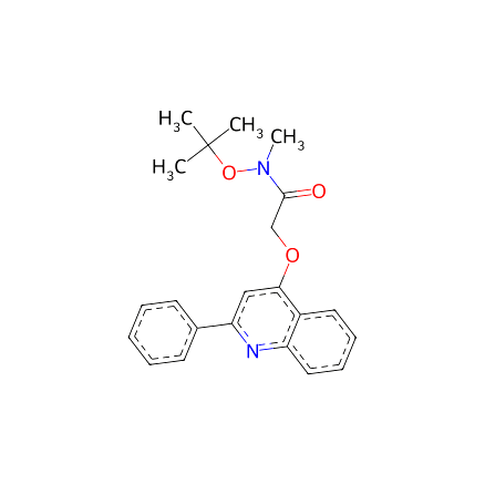 CN(OC(C)(C)C)C(=O)COc1cc(-c2ccccc2)nc2ccccc12